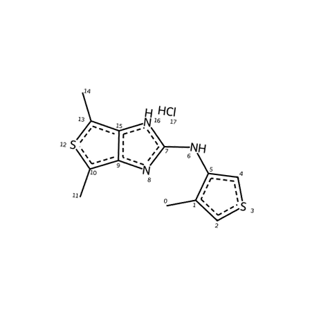 Cc1cscc1Nc1nc2c(C)sc(C)c2[nH]1.Cl